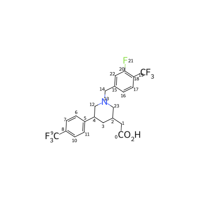 O=C(O)CC1CC(c2ccc(C(F)(F)F)cc2)CN(Cc2ccc(C(F)(F)F)c(F)c2)C1